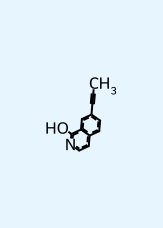 CC#Cc1ccc2ccnc(O)c2c1